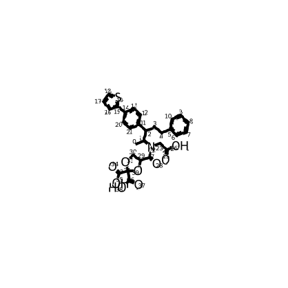 CC(C(CCc1ccccc1)c1ccc(-c2cccs2)cc1)N(CC(=O)O)C(=O)C1COC(C(=O)O)(C(=O)O)O1